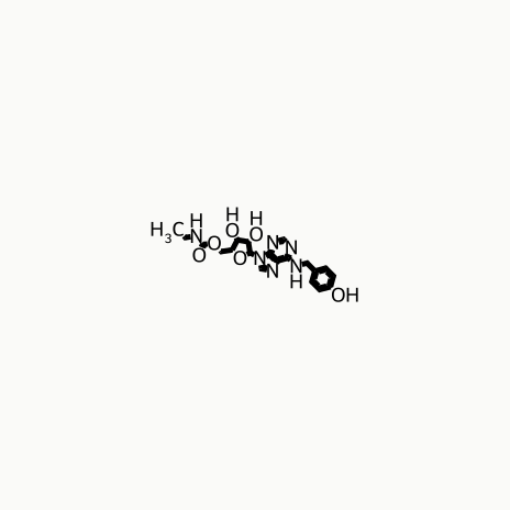 CCNC(=O)OCC1OC(n2cnc3c(NCc4ccc(O)cc4)ncnc32)C(O)C1O